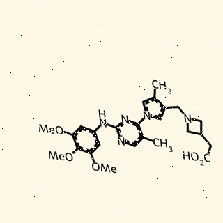 COc1cc(Nc2ncc(C)c(-n3cc(C)c(CN4CC(CC(=O)O)C4)c3)n2)cc(OC)c1OC